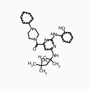 CC(C)(C)CC(C)(C)Nc1cc(C(=O)N2CCN(c3ccccc3)CC2)nc(Nc2ccccc2O)n1